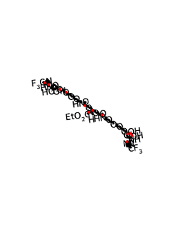 CCOC(=O)CNC(COCCC(=O)NCCOCCOCCOCCOC[C@H]1OC[C@H](Nc2cncc(C(F)(F)F)n2)[C@@H](O)[C@H]1O)COCCC(=O)NCCOCCOCCOCCOC[C@H]1OC[C@H](Nc2cncc(C(F)(F)F)n2)[C@@H](O)[C@H]1O